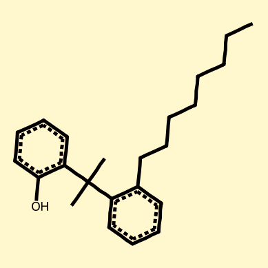 CCCCCCCCc1ccccc1C(C)(C)c1ccccc1O